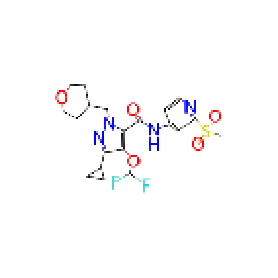 CS(=O)(=O)c1cc(NC(=O)c2c(OC(F)F)c(C3CC3)nn2CC2CCOCC2)ccn1